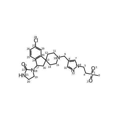 CS(=O)(=O)CCn1cc(CN2CCC3(CC2)CC(N2CCNC2=O)c2ccc(Cl)cc23)cn1